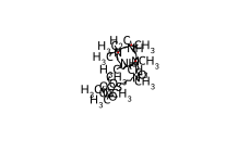 C=Cc1c(C)c2cc3nc(c(C)c4cc(C)c(cc5nc(cc1[nH]2)C(C)=C5CC)[nH]4)C(CCC(=O)N(C)CCCCCS[C@@H]1O[C@H](CC)[C@@H](OC(C)=O)[C@H](OC(C)=O)[C@H]1C)=C3C